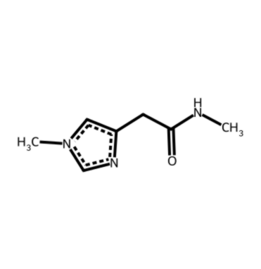 CNC(=O)Cc1cn(C)cn1